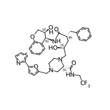 O=C(N[C@H]1c2ccccc2OC[C@H]1O)[C@H](Cc1ccccc1)C[C@H](O)CN1CCN(Cc2ccc(-c3nccs3)o2)C[C@H]1C(=O)NCC(F)(F)F